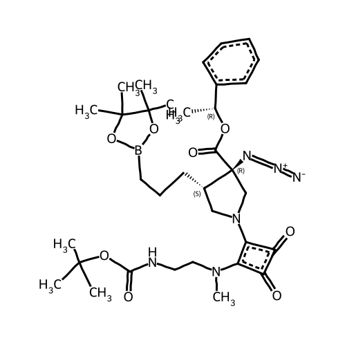 C[C@@H](OC(=O)[C@]1(N=[N+]=[N-])CN(c2c(N(C)CCNC(=O)OC(C)(C)C)c(=O)c2=O)C[C@@H]1CCCB1OC(C)(C)C(C)(C)O1)c1ccccc1